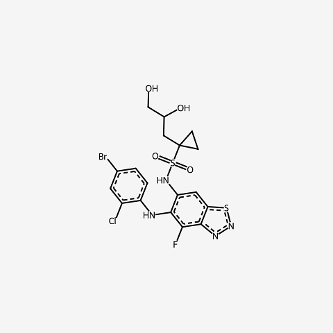 O=S(=O)(Nc1cc2snnc2c(F)c1Nc1ccc(Br)cc1Cl)C1(CC(O)CO)CC1